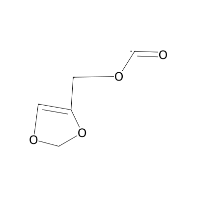 O=[C]OCC1=COCO1